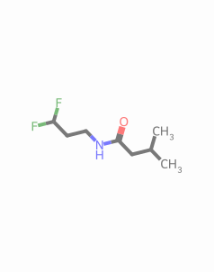 CC(C)CC(=O)NCCC(F)F